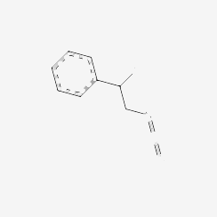 O=C=NCC(S)c1ccccc1